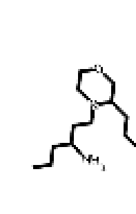 CCCC(N)CCN1CCOCC1CCC